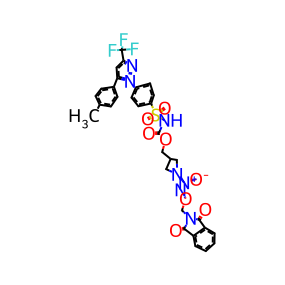 Cc1ccc(-c2cc(C(F)(F)F)nn2-c2ccc(S(=O)(=O)NC(=O)OCC3CN(/[N+]([O-])=N/OCN4C(=O)c5ccccc5C4=O)C3)cc2)cc1